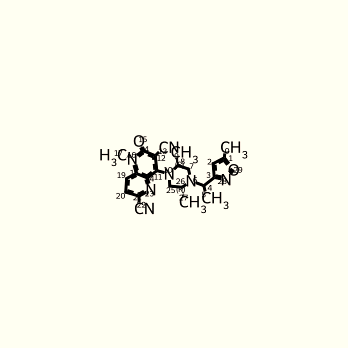 Cc1cc(C(C)N2C[C@H](C)N(c3c(C#N)c(=O)n(C)c4ccc(C#N)nc34)C[C@H]2C)no1